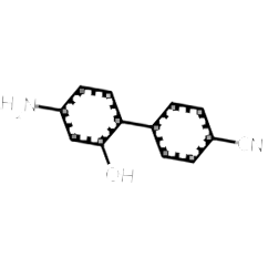 N#Cc1ccc(-c2ccc(N)cc2O)cc1